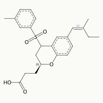 CC/C(C)=C\c1ccc2c(c1)C(S(=O)(=O)c1cccc(C)c1)C[C@H](CCC(=O)O)O2